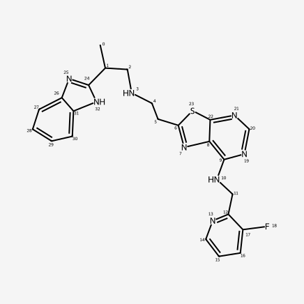 CC(CNCCc1nc2c(NCc3ncccc3F)ncnc2s1)c1nc2ccccc2[nH]1